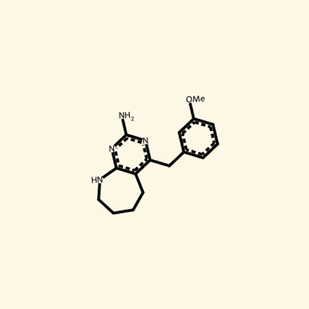 COc1cccc(Cc2nc(N)nc3c2CCCCN3)c1